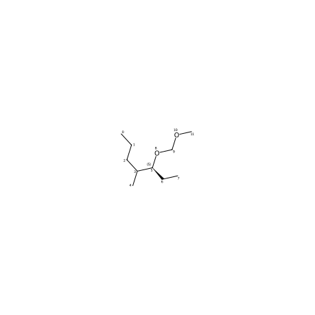 CCCC(C)[C@H](CC)OCOC